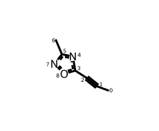 CC#Cc1nc(C)no1